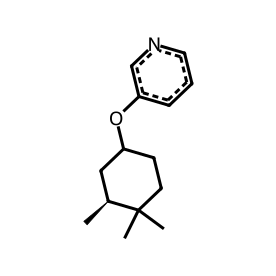 C[C@H]1CC(Oc2cccnc2)CCC1(C)C